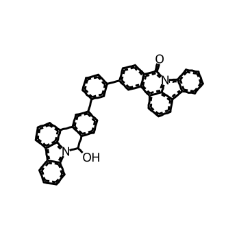 O=c1c2ccc(-c3cccc(-c4ccc5c(c4)-c4cccc6c7ccccc7n(c46)C5O)c3)cc2c2cccc3c4ccccc4n1c23